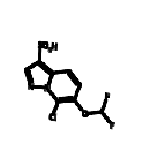 O=S(=O)(O)c1cnn2c(Cl)c(OC(F)F)ccc12